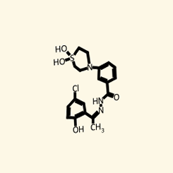 CC(=NNC(=O)c1cccc(N2CCS(O)(O)CC2)c1)c1cc(Cl)ccc1O